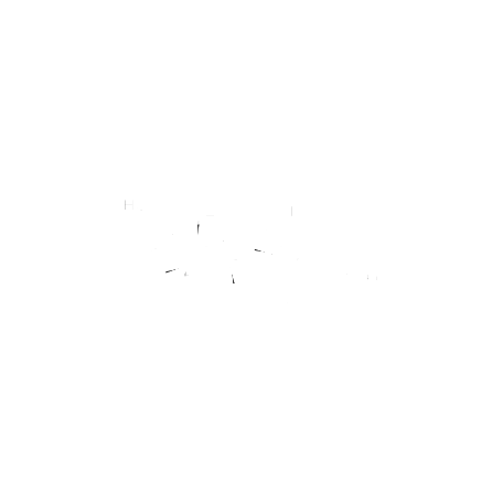 C[C@@H]1C[C@H]2C3CCC4=CC(=O)C=CC4(C)[C@@]3(F)C(O)CC2(C)[C@@]1(O)C(=O)CO